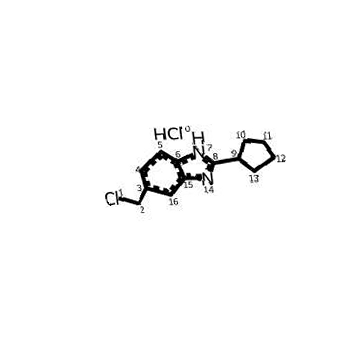 Cl.ClCc1ccc2[nH]c(C3CCCC3)nc2c1